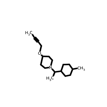 CC#CCOC1CCN(C(C)C2CCC(C)CC2)CC1